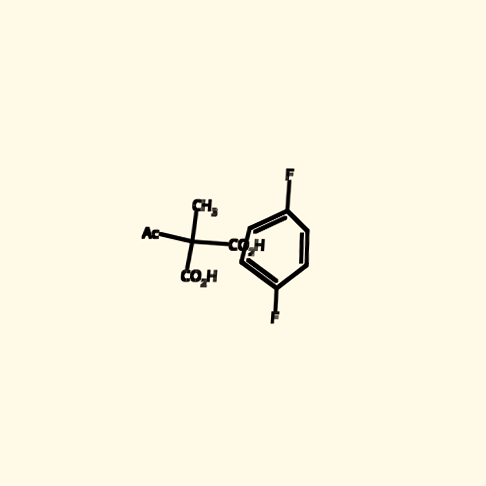 CC(=O)C(C)(C(=O)O)C(=O)O.Fc1ccc(F)cc1